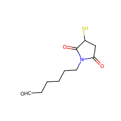 O=CCCCCCN1C(=O)CC(S)C1=O